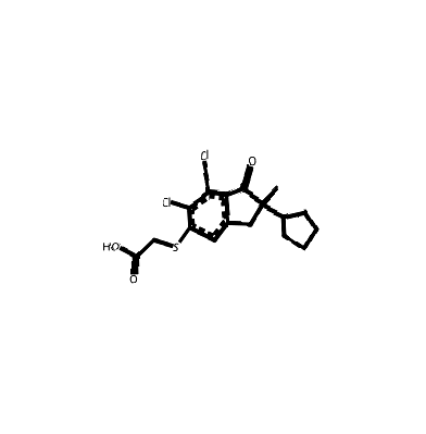 CC1(C2CCCC2)Cc2cc(SCC(=O)O)c(Cl)c(Cl)c2C1=O